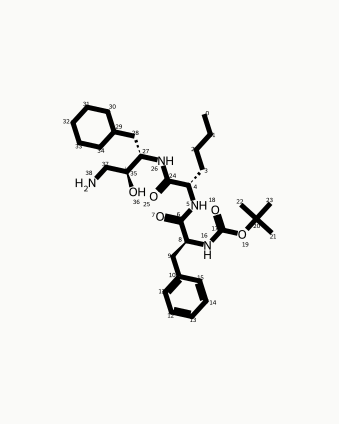 CCCC[C@H](NC(=O)[C@H](Cc1ccccc1)NC(=O)OC(C)(C)C)C(=O)N[C@@H](CC1CCCCC1)[C@@H](O)CN